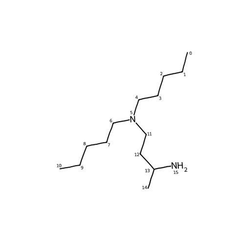 CCCCCN(CCCCC)CCC(C)N